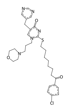 O=C(CCCCCCCSc1nc(=O)c(Cc2cncnc2)cn1CCCN1CCOCC1)c1ccc(Cl)cc1